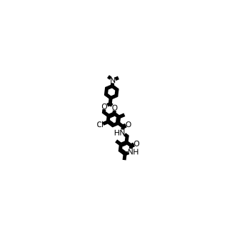 Cc1cc(C)c(CNC(=O)c2cc(Cl)c3c(c2C)OC(C2CCC(N(C)C)CC2)OC3)c(=O)[nH]1